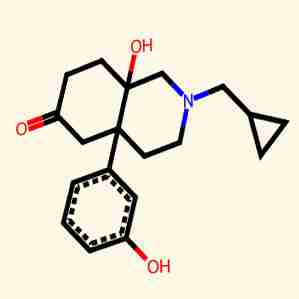 O=C1CCC2(O)CN(CC3CC3)CCC2(c2cccc(O)c2)C1